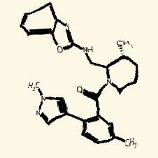 Cc1ccc(-c2cnn(C)c2)c(C(=O)N2CCC[C@@H](C)C2CNc2nc3ccccc3o2)c1